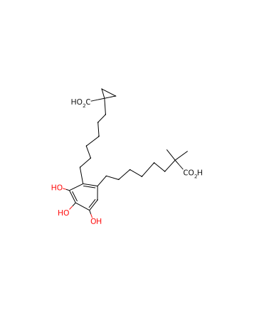 CC(C)(CCCCCCc1cc(O)c(O)c(O)c1CCCCCCC1(C(=O)O)CC1)C(=O)O